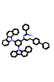 N/C(=N\C(=C/Cc1ccc(C2=CC=CCC2)cc1)c1cc(N2C3=C(CCC=C3)C3C=Cc4ccccc4C32)cc(-n2c3ccccc3c3ccc4ccccc4c32)c1)c1ccccc1